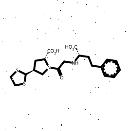 O=C(O)[C@H](CCc1ccccc1)NCC(=O)N1C[C@@H](C2SCCS2)C[C@@H]1C(=O)O